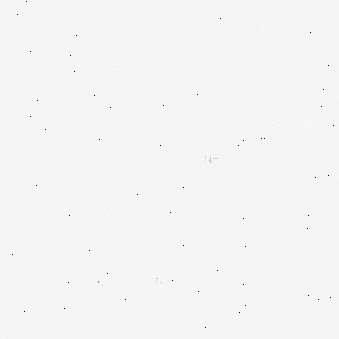 CN1CCN(c2cccc(F)c2CCCNCc2ccc(Cl)cc2)CC1